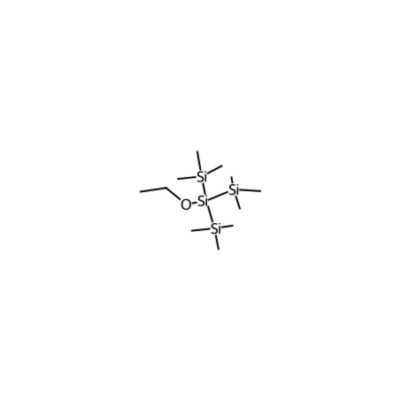 CCO[Si]([Si](C)(C)C)([Si](C)(C)C)[Si](C)(C)C